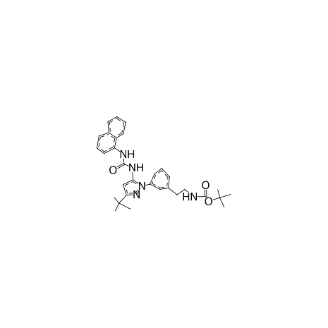 CC(C)(C)OC(=O)NCCc1cccc(-n2nc(C(C)(C)C)cc2NC(=O)Nc2cccc3ccccc23)c1